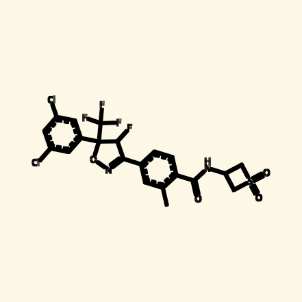 Cc1cc(C2=NOC(c3cc(Cl)cc(Cl)c3)(C(F)(F)F)C2F)ccc1C(=O)NC1CS(=O)(=O)C1